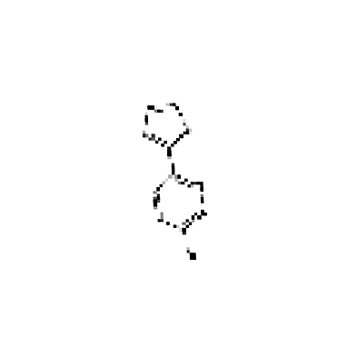 Oc1ccc(-c2cccs2)nn1